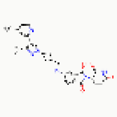 Cc1ccnc(-c2cn(C3CC(CNc4ccc5c(c4)C(=O)N(C4CCC(=O)NC4=O)C5=O)C3)nc2C2CC2)c1